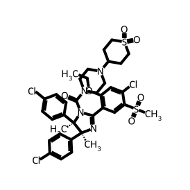 CCOc1cc(Cl)c(S(C)(=O)=O)cc1C1=N[C@@](C)(c2ccc(Cl)cc2)[C@@](C)(c2ccc(Cl)cc2)N1C(=O)N1CCN(C2CCS(=O)(=O)CC2)CC1